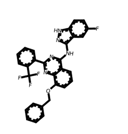 Fc1ccc2[nH]nc(Nc3nc(-c4ccccc4C(F)(F)F)nc4c(OCc5ccccc5)cccc34)c2c1